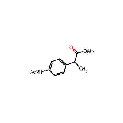 COC(=O)C(C)c1ccc(NC(C)=O)cc1